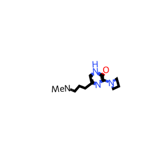 CNCCCc1c[nH]c(=O)c(N2CCC2)n1